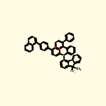 CC1(C)c2ccccc2-c2c(N(c3ccc(-c4ccc(-c5cccc6ccccc56)cc4)cc3)c3ccccc3-c3ccccc3-c3ccccc3)cccc21